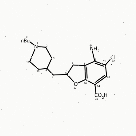 CCCCN1CCC(CC2Cc3c(N)c(Cl)cc(C(=O)O)c3O2)CC1